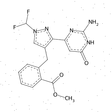 COC(=O)c1ccccc1Cc1cn(C(F)F)nc1-c1cc(=O)[nH]c(N)n1